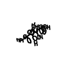 CCCOC(=O)C(O)C(O)C(O)C(O)COP(=O)(O)O